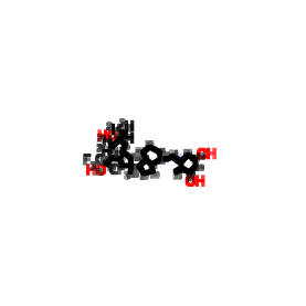 [2H]C([2H])([2H])C(O)(CCCC(C)(C/C=C\C(O)(C(F)(F)F)C(F)(F)F)[C@H]1CCC2/C(=C/C=C3/C[C@@H](O)C[C@H](O)C3=C)CCC[C@@]21C)C([2H])([2H])[2H]